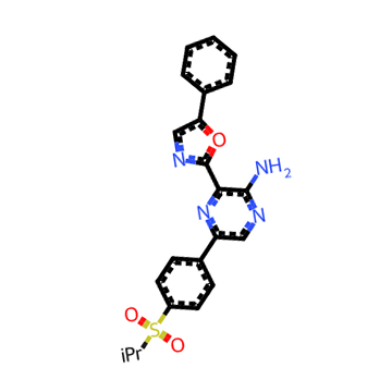 CC(C)S(=O)(=O)c1ccc(-c2cnc(N)c(-c3ncc(-c4ccccc4)o3)n2)cc1